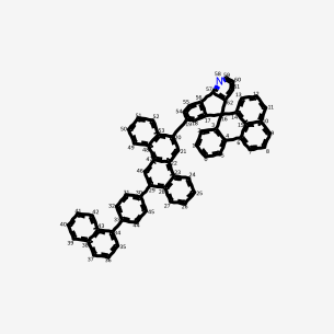 c1ccc2c(c1)-c1cccc3cccc(c13)C21c2cc(-c3cc4c5ccccc5c(-c5ccc(-c6cccc7ccccc67)cc5)cc4c4ccccc34)ccc2-c2ncccc21